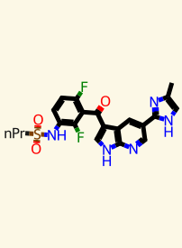 CCCS(=O)(=O)Nc1ccc(F)c(C(=O)c2c[nH]c3ncc(-c4nc(C)c[nH]4)cc23)c1F